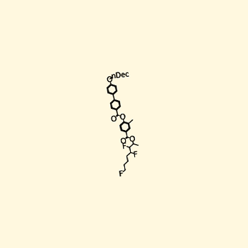 CCCCCCCCCCOc1ccc(-c2ccc(C(=O)Oc3ccc(C(=O)OC(C)C(F)C(F)CCCCF)cc3C)cc2)cc1